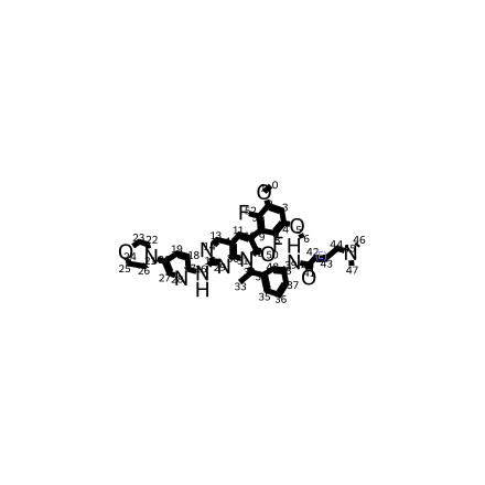 COc1cc(OC)c(F)c(-c2cc3cnc(Nc4ccc(N5CCOCC5)cn4)nc3n(C(C)c3cccc(NC(=O)/C=C/CN(C)C)c3)c2=O)c1F